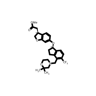 COC(=O)C[C@@H]1COc2cc(O[C@@H]3CCc4c3ccc(C(F)(F)F)c4CN3CCOC(C)(C)C3)ccc21